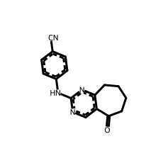 N#Cc1ccc(Nc2ncc3c(n2)CCCCC3=O)cc1